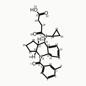 Cc1cccc(C(=O)N2c3ccccc3[C@H](N(C(=O)CCC(=O)O)C3CC3)[C@H]3CCC[C@H]32)c1